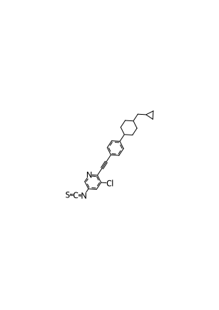 S=C=Nc1cnc(C#Cc2ccc(C3CCC(CC4CC4)CC3)cc2)c(Cl)c1